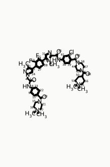 Cc1nn(CC(=O)Nc2ccc(C(=O)N3CC[N+](C)(C)CC3)cc2)cc1-c1ccc(-c2cnc(C(=O)Nc3ccc(C(=O)N4CCN(C(=O)C5CC[N+](C)(C)CC5)CC4)c(Cl)c3)n2C)c(F)c1F